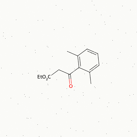 CCOC(=O)CC(=O)c1c(C)cccc1C